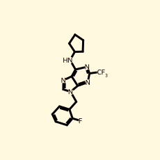 Fc1ccccc1Cn1cnc2c(NC3CCCC3)nc(C(F)(F)F)nc21